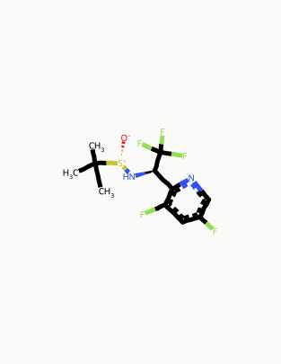 CC(C)(C)[S@+]([O-])N[C@H](c1ncc(F)cc1F)C(F)(F)F